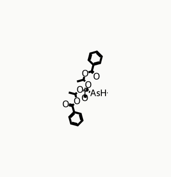 CC(OC(=O)c1ccccc1)OP(=O)([AsH])OC(C)OC(=O)c1ccccc1